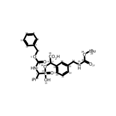 CC(C)C(NC(=O)OCc1ccccc1)P(=O)(O)OC(C(=O)O)c1cccc(CNC(=O)OC(C)(C)C)c1